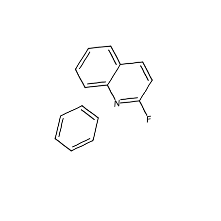 Fc1ccc2ccccc2n1.c1ccccc1